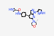 C[C@@H]1COCCN1c1cc(-c2ccc(NC(=O)C3CNC3)cc2)c2cnn(-c3cc[nH]n3)c2n1